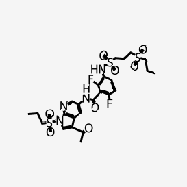 CCCS(=O)(=O)CCCS(=O)(=O)Nc1ccc(F)c(C(=O)Nc2cnc3c(c2)c(C(C)=O)cn3S(=O)(=O)CCC)c1F